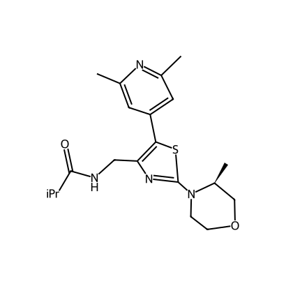 Cc1cc(-c2sc(N3CCOC[C@@H]3C)nc2CNC(=O)C(C)C)cc(C)n1